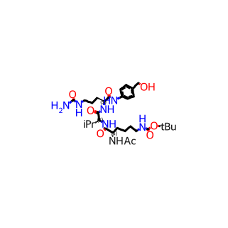 CC(=O)N[C@@H](CCCCNC(=O)OC(C)(C)C)C(=O)N[C@H](C(=O)N[C@@H](CCCNC(N)=O)C(=O)Nc1ccc(CO)cc1)C(C)C